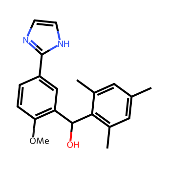 COc1ccc(-c2ncc[nH]2)cc1C(O)c1c(C)cc(C)cc1C